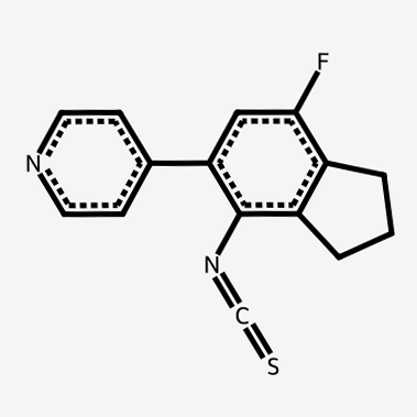 Fc1cc(-c2ccncc2)c(N=C=S)c2c1CCC2